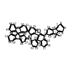 CC1(C)c2ccccc2-c2ccc(-c3c4ccccc4cc4c3oc3cccc(N(c5ccccc5)c5ccc6c(c5)C5(c7ccccc7-c7ccccc75)c5ccccc5-6)c34)cc21